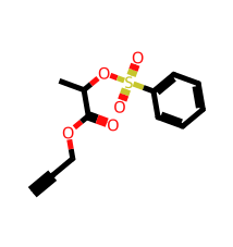 C#CCOC(=O)C(C)OS(=O)(=O)c1ccccc1